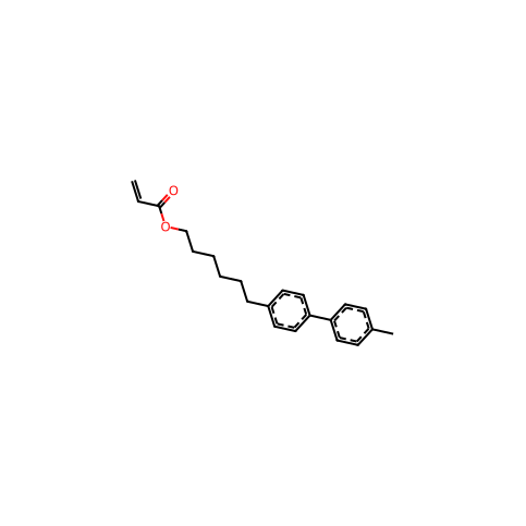 C=CC(=O)OCCCCCCc1ccc(-c2ccc(C)cc2)cc1